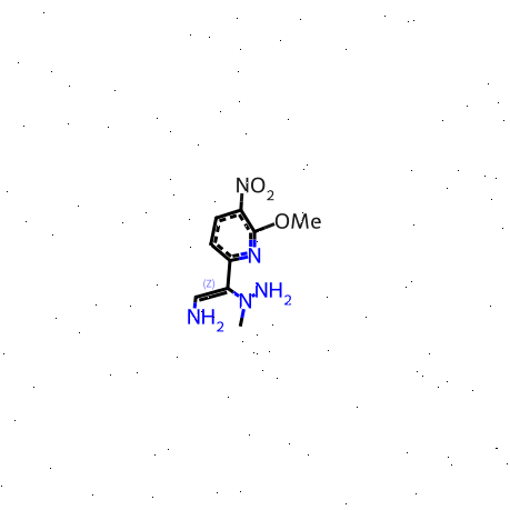 COc1nc(/C(=C/N)N(C)N)ccc1[N+](=O)[O-]